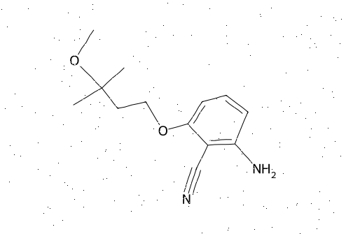 COC(C)(C)CCOc1cccc(N)c1C#N